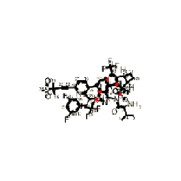 CC(C)[C@H](N)C(=O)N(c1nn(CC(F)(F)F)c2c(-c3ccc(C#CC(C)(C)S(C)(=O)=O)nc3[C@H](Cc3cc(F)cc(F)c3)NC(=O)Cn3nc(C(F)(F)F)c4c3C(F)(F)[C@@H]3CC[C@H]43)ccc(Cl)c12)S(C)(=O)=O